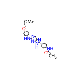 C=CC(=O)Nc1ccc(-c2nc3cnc(Nc4ccc(OCCOC)cc4)nc3[nH]2)cc1